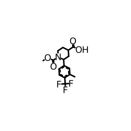 COC(=O)N1CCC(C(=O)O)CC1c1ccc(C(F)(F)F)c(C)c1